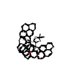 CC1(C)O[C@@H](C(O)(c2cc3c4c5c(cccc25)CC=C4CC=C3)c2cc3c4c5c(cccc25)CC=C4CC=C3)[C@H](C(O)(c2cc3c4c5c(cccc25)CC=C4CC=C3)c2cc3c4c5c(cccc25)C=CC4CC=C3)O1